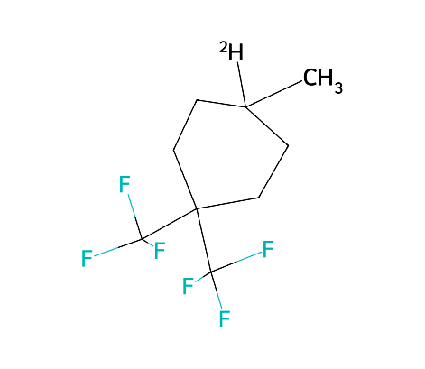 [2H]C1(C)CCC(C(F)(F)F)(C(F)(F)F)CC1